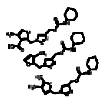 Cc1cc(Cn2cc(COC(=O)NC3CCCCC3)nn2)oc1C.Cc1ccoc1Cn1cc(COC(=O)NC2CCCCC2)nn1.Cc1coc(Cn2cc(COC(=O)NC3CCCCC3)nn2)c1C(=O)O